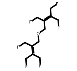 FCC(CF)=C(CF)COCC(CF)=C(CF)CF